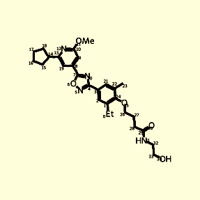 CCc1cc(-c2noc(-c3cc(OC)nc(C4CCCC4)c3)n2)cc(C)c1OCCCC(=O)NCCO